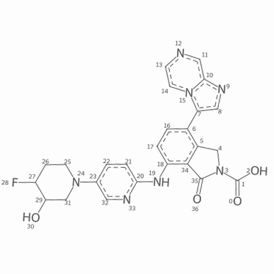 O=C(O)N1Cc2c(-c3cnc4cnccn34)ccc(Nc3ccc(N4CCC(F)C(O)C4)cn3)c2C1=O